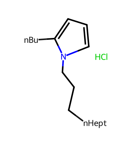 CCCCCCCCCCn1cccc1CCCC.Cl